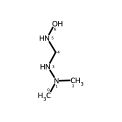 CN(C)NCNO